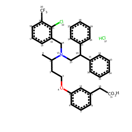 CC(CCOc1cccc(CC(=O)O)c1)N(Cc1cccc(C(F)(F)F)c1Cl)CC(c1ccccc1)c1ccccc1.Cl